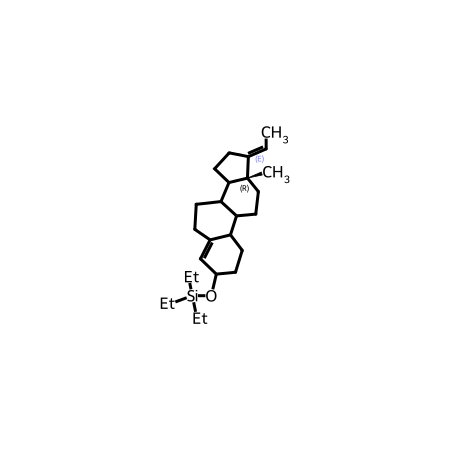 C/C=C1\CCC2C3CCC4=CC(O[Si](CC)(CC)CC)CCC4C3CC[C@@]12C